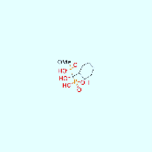 COP(=O)(O)C(O)(C1CCCCC1)P(=O)(O)O